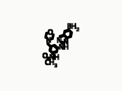 Bc1ccc2nc(Nc3cc(CN4CCOCC4)cc(NC(C)=O)c3)ncc2c1